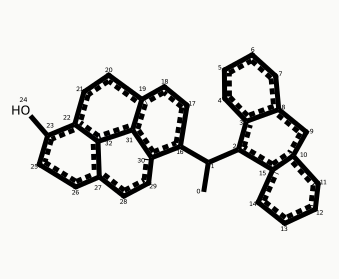 CC(c1c2ccccc2cc2ccccc12)c1ccc2ccc3c(O)ccc4ccc1c2c43